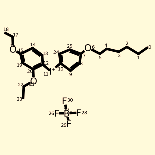 CCCCCCOc1ccc([I+]c2ccc(OCC)cc2OCC)cc1.F[B-](F)(F)F